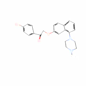 CN1CCN(c2cccc3ccc(OCC(=O)c4ccc(Br)cc4)cc23)CC1